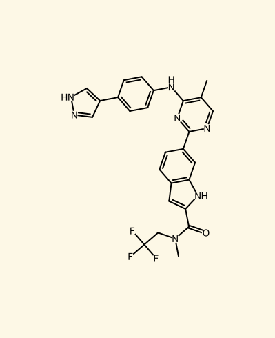 Cc1cnc(-c2ccc3cc(C(=O)N(C)CC(F)(F)F)[nH]c3c2)nc1Nc1ccc(-c2cn[nH]c2)cc1